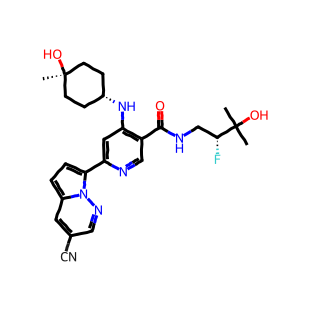 CC(C)(O)[C@H](F)CNC(=O)c1cnc(-c2ccc3cc(C#N)cnn23)cc1N[C@H]1CC[C@](C)(O)CC1